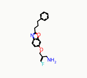 NC/C(=C\F)COc1ccc2nc(CCCc3ccccc3)oc2c1